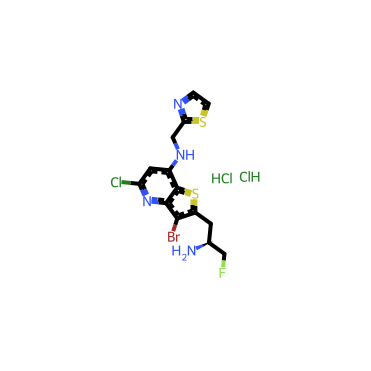 Cl.Cl.N[C@H](CF)Cc1sc2c(NCc3nccs3)cc(Cl)nc2c1Br